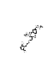 O=C(CCCCCN1C(=O)C=CC1=O)Oc1ccc(S(=O)(=O)O)cc1[N+](=O)[O-].[Na]